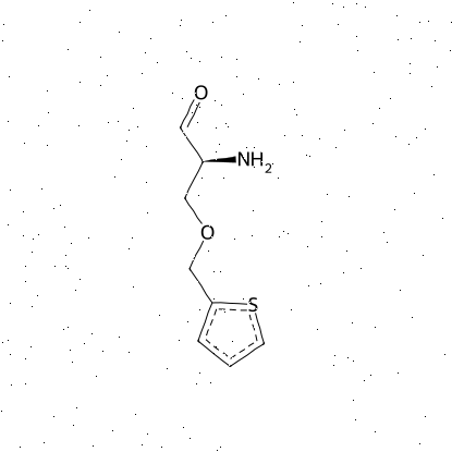 N[C@H](C=O)COCc1cccs1